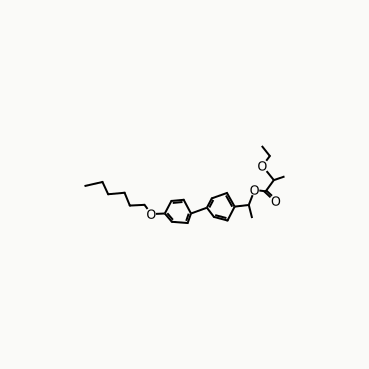 CCCCCCOc1ccc(-c2ccc(C(C)OC(=O)C(C)OCC)cc2)cc1